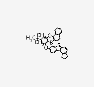 CC(C)(C)c1cc2c3c(c1)Oc1c(ccc4ccccc14)B3c1c(ccc3c1sc1ccc4c(c13)CCC4)O2